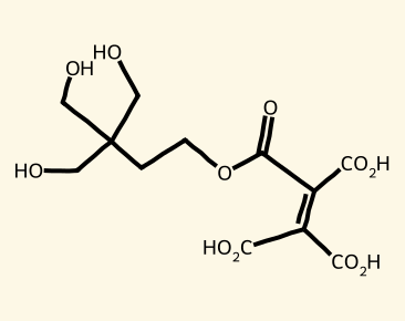 O=C(O)C(C(=O)O)=C(C(=O)O)C(=O)OCCC(CO)(CO)CO